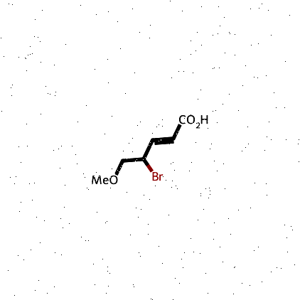 COCC(Br)C=CC(=O)O